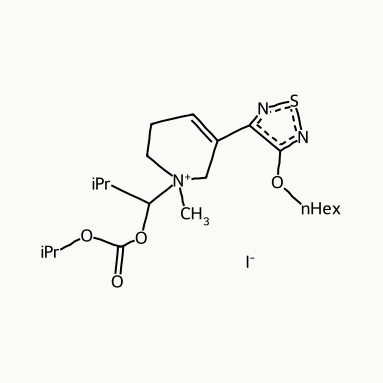 CCCCCCOc1nsnc1C1=CCC[N+](C)(C(OC(=O)OC(C)C)C(C)C)C1.[I-]